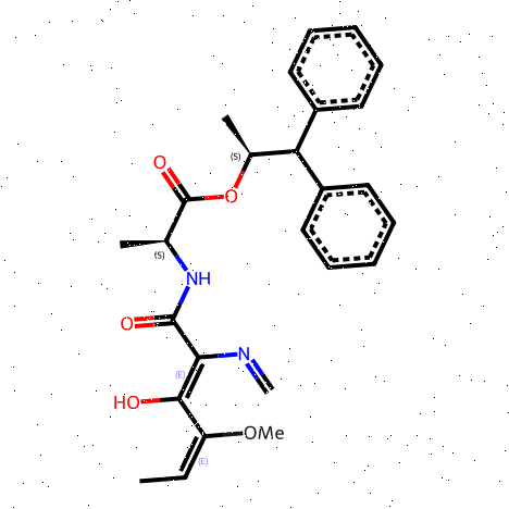 C=N/C(C(=O)N[C@@H](C)C(=O)O[C@@H](C)C(c1ccccc1)c1ccccc1)=C(O)\C(=C/C)OC